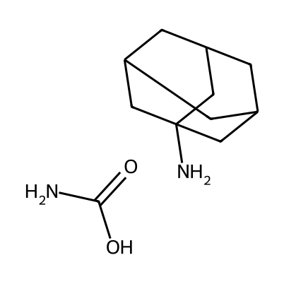 NC(=O)O.NC12CC3CC(CC(C3)C1)C2